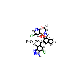 CCOC(=O)C[C@H](c1cc2c(c(CN3C[C@@H](CC)Oc4ncc(Cl)cc4S3(=O)=O)c1)CCC2)c1cc(Cl)c2c(nnn2C)c1C